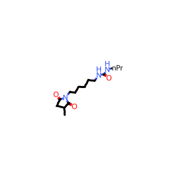 CCCNC(=O)NCCCCCCN1C(=O)CC(C)C1=O